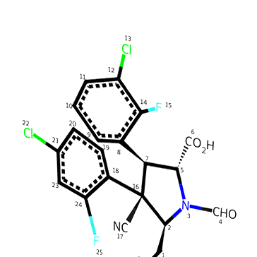 CC(C)(C)C[C@@H]1N(C=O)[C@@H](C(=O)O)[C@H](c2cccc(Cl)c2F)[C@@]1(C#N)c1ccc(Cl)cc1F